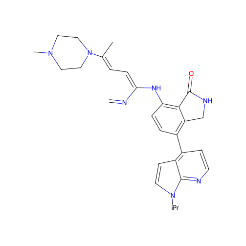 C=N/C(=C\C=C(/C)N1CCN(C)CC1)Nc1ccc(-c2ccnc3c2ccn3C(C)C)c2c1C(=O)NC2